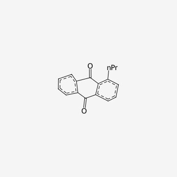 CCCc1cccc2c1C(=O)c1ccccc1C2=O